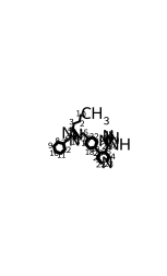 CCCCc1nc(-c2ccccc2)nn1Cc1ccc(-c2ccncc2-c2nnn[nH]2)cc1